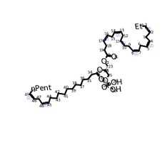 CC/C=C\C/C=C\C/C=C\C/C=C\C/C=C\C/C=C\CCC(=O)OC[C@H](COP(=O)(O)O)OC(=O)CCCCCCCCCCC/C=C\C/C=C\CCCCC